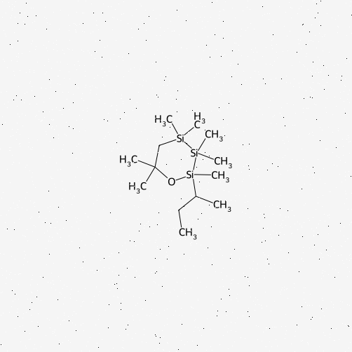 CCC(C)[Si]1(C)OC(C)(C)C[Si](C)(C)[Si]1(C)C